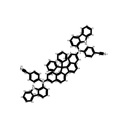 N#Cc1ccc(N(c2ccc3c4c(ccc3c2)-c2ccc3cc(N(c5ccc(C#N)cc5)c5cccc6c5oc5ccccc56)ccc3c2C4(c2ccccc2)c2ccccc2)c2cccc3c2oc2ccccc23)cc1